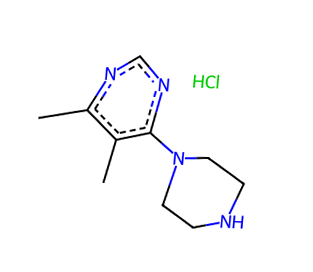 Cc1ncnc(N2CCNCC2)c1C.Cl